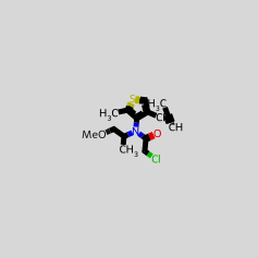 C#CC.COCC(C)N(C(=O)CCl)c1c(C)csc1C